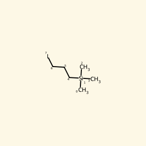 C[Si](C)(C)CCCI